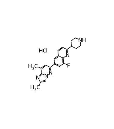 Cc1cn2nc(-c3cc(F)c4nc(C5CCNCC5)ccc4c3)cc(C)c2n1.Cl